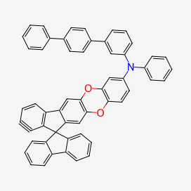 c1ccc2c(c#1)C1(c3cc4c(cc3-2)Oc2cc(N(c3ccccc3)c3cccc(-c5ccc(-c6ccccc6)cc5)c3)ccc2O4)c2ccccc2-c2ccccc21